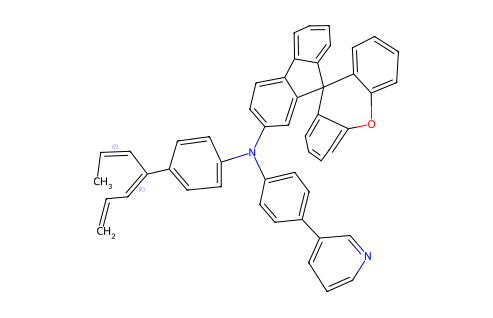 C=C/C=C(\C=C/C)c1ccc(N(c2ccc(-c3cccnc3)cc2)c2ccc3c(c2)C2(c4ccccc4Oc4ccccc42)c2ccccc2-3)cc1